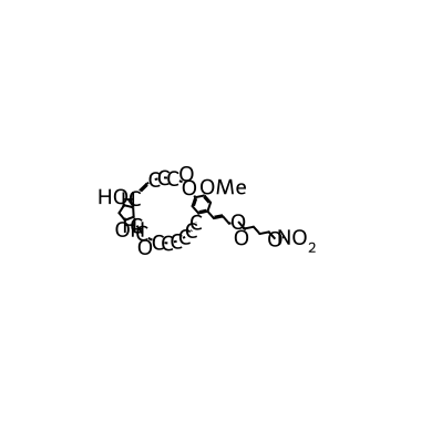 COc1cc(/C=C/COC(=O)CCCO[N+](=O)[O-])c2cc1OC(=O)CCC/C=C\C[C@@H]1[C@@H](CCC(=O)CCCCCC2)[C@H](O)C[C@@H]1O